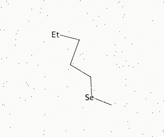 CCCCC[Se]C